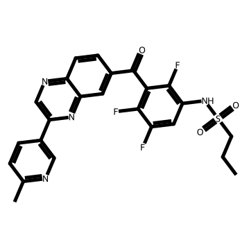 CCCS(=O)(=O)Nc1cc(F)c(F)c(C(=O)c2ccc3ncc(-c4ccc(C)nc4)nc3c2)c1F